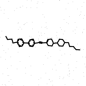 CCCCCC1CCC(C2CC=C(C#Cc3ccc(-c4ccc(CCCC)cc4)cc3)CC2)CC1